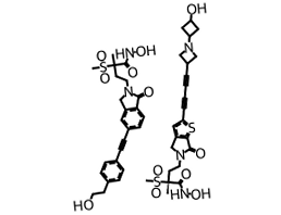 CC(CCN1Cc2cc(C#Cc3ccc(CCO)cc3)ccc2C1=O)(C(=O)NO)S(C)(=O)=O.C[C@@](CCN1Cc2cc(C#CC#CC3CN(C4CC(O)C4)C3)sc2C1=O)(C(=O)NO)S(C)(=O)=O